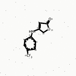 O=C1C=C(Nc2ccc(C(F)(F)F)cc2)CO1